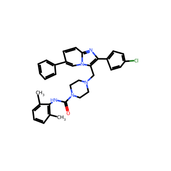 Cc1cccc(C)c1NC(=O)N1CCN(Cc2c(-c3ccc(Cl)cc3)nc3ccc(-c4ccccc4)cn23)CC1